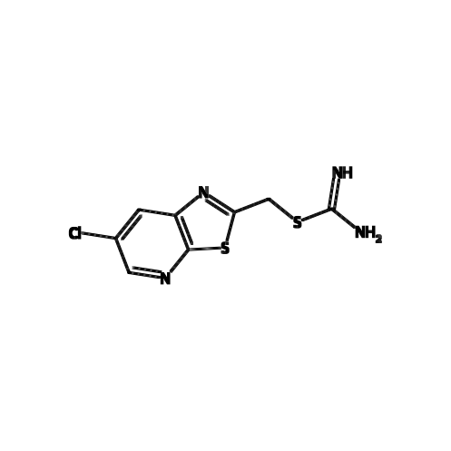 N=C(N)SCc1nc2cc(Cl)cnc2s1